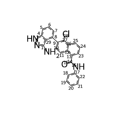 Nc1n[nH]c2cccc(-c3ccc4c(C(=O)Nc5ccccc5)cccc4c3Cl)c12